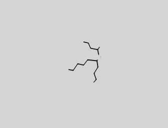 CCCCCC(BC(C)CCC)CCCC